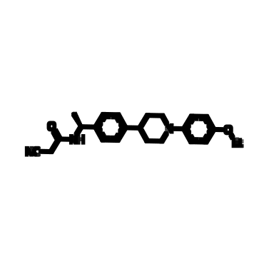 CCOc1ccc(N2CCC(c3ccc([C@H](C)NC(=O)CC#N)cc3)CC2)cc1